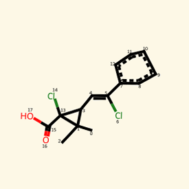 CC1(C)C(C=C(Cl)c2ccccc2)C1(Cl)C(=O)O